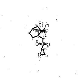 C[C@@]1(C(Cl)Cl)C2CCC1(CS(=O)(=O)N1CO1)C(=O)C2